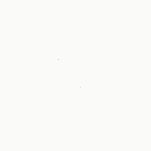 Cc1ccc2c(c1)nc(C)n2C1CCN(C(=O)OC(C)(C)C)CC1CO